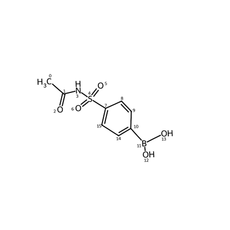 CC(=O)NS(=O)(=O)c1ccc(B(O)O)cc1